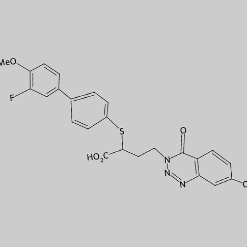 COc1ccc(-c2ccc(SC(CCn3nnc4cc(Cl)ccc4c3=O)C(=O)O)cc2)cc1F